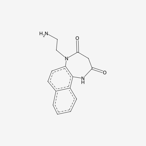 NCCN1C(=O)CC(=O)Nc2c1ccc1ccccc21